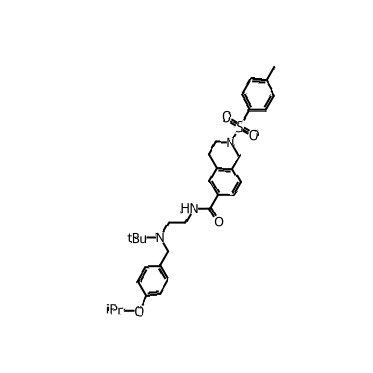 Cc1ccc(S(=O)(=O)N2CCc3cc(C(=O)NCCN(Cc4ccc(OC(C)C)cc4)C(C)(C)C)ccc3C2)cc1